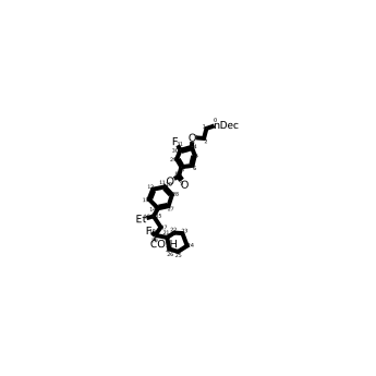 CCCCCCCCCCCCOc1ccc(C(=O)Oc2ccc(C(CC)C[C@@](F)(C(=O)O)C3CCCCC3)cc2)cc1F